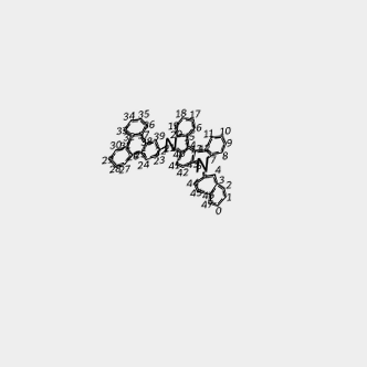 c1ccc2cc(-n3c4ccccc4c4c5c6ccccc6n(-c6ccc7c8ccccc8c8ccccc8c7c6)c5ccc43)ccc2c1